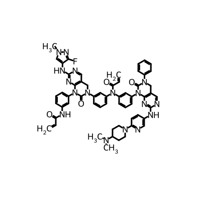 C=CC(=O)Nc1cccc(N2C(=O)N(c3cccc(N(C(=O)C=C)c4cccc(N5C(=O)N(c6ccccc6)Cc6cnc(Nc7ccc(N8CCC(N(C)C)CC8)nc7)nc65)c4)c3)Cc3cnc(Nc4cn(C)nc4F)nc32)c1